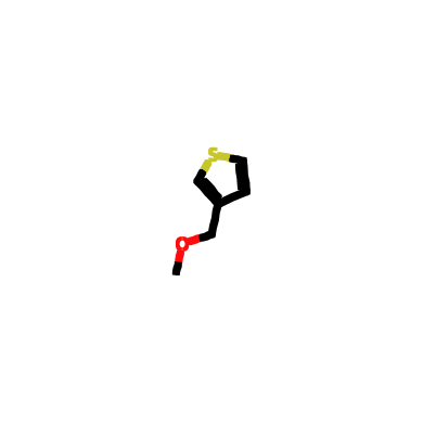 COCc1ccsc1